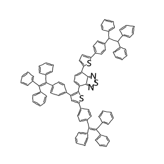 c1ccc(C(=C(c2ccccc2)c2ccc(-c3cc(-c4ccc(C(=C(c5ccccc5)c5ccccc5)c5ccccc5)cc4)c(-c4ccc(-c5ccc(-c6ccc(C(c7ccccc7)C(c7ccccc7)c7ccccc7)cc6)s5)c5nsnc45)s3)cc2)c2ccccc2)cc1